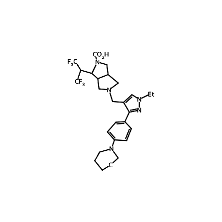 CCn1cc(CN2CC3CN(C(=O)O)C(C(C(F)(F)F)C(F)(F)F)C3C2)c(-c2ccc(N3CCCCC3)cc2)n1